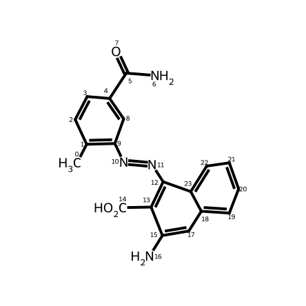 Cc1ccc(C(N)=O)cc1N=Nc1c(C(=O)O)c(N)cc2ccccc12